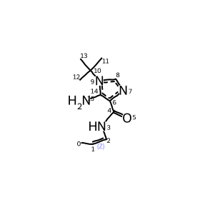 C/C=C\NC(=O)c1ncn(C(C)(C)C)c1N